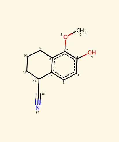 COc1c(O)ccc2c1CCCC2C#N